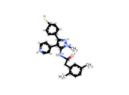 Cc1ccc(C)c(CC(=O)Nc2c(-c3ccncc3)c(-c3ccc(F)cc3)nn2C)c1